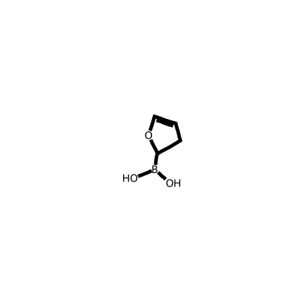 OB(O)C1CC=CO1